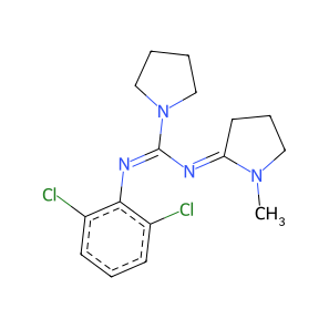 CN1CCCC1=NC(=Nc1c(Cl)cccc1Cl)N1CCCC1